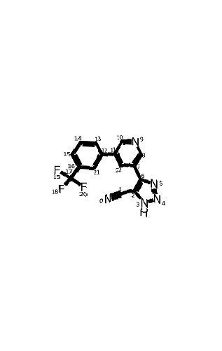 N#Cc1[nH]nnc1-c1cncc(-c2cccc(C(F)(F)F)c2)c1